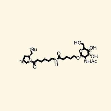 CC(=O)NC1[C@H](OCCCCC(=O)NCCCCCC(=O)N2C[C@H](C)C[C@H]2CC(C)(C)C)OC(CO)[C@H](O)[C@@H]1O